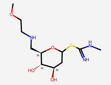 CNC(=N)SC1C[C@@H](O)[C@H](O)[C@@H](CNCCOC)O1